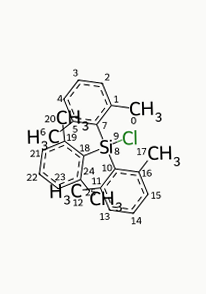 Cc1cccc(C)c1[Si](Cl)(c1c(C)cccc1C)c1c(C)cccc1C